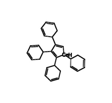 C1=CCC(C2=[CH][GeH]([CH]3C=CC=CC3)[C](C3C=CC=CC3)=C2C2C=CC=CC2)C=C1